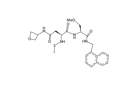 COC[C@H](NC(=O)[C@H](CC(=O)NC1COC1)NSI)C(=O)NCc1cccc2ccccc12